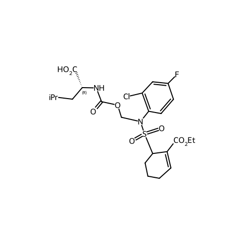 CCOC(=O)C1=CCCCC1S(=O)(=O)N(COC(=O)N[C@H](CC(C)C)C(=O)O)c1ccc(F)cc1Cl